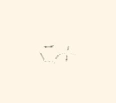 CS(=O)(=O)c1ncccc1[O]